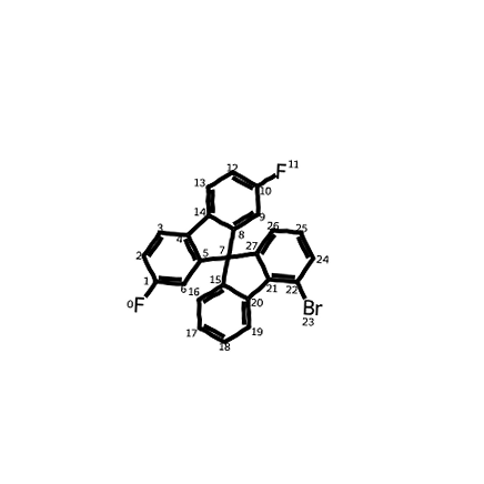 Fc1ccc2c(c1)C1(c3cc(F)ccc3-2)c2ccccc2-c2c(Br)cccc21